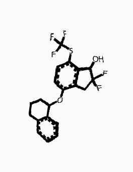 OC1c2c(SC(F)(F)F)ccc(OC3CCCc4ccccc43)c2CC1(F)F